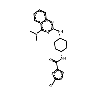 CN(C)c1nc(N[C@H]2CC[C@@H](NC(=O)c3ccc(Cl)s3)CC2)nc2ccccc12